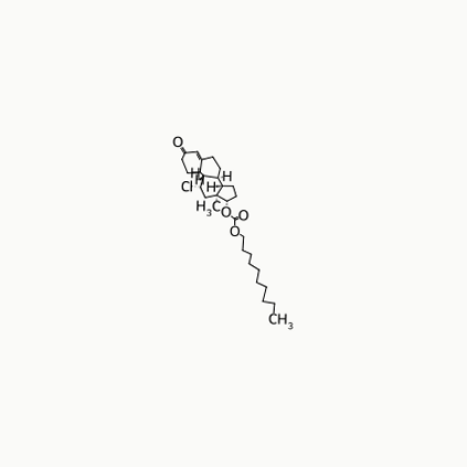 CCCCCCCCCCOC(=O)O[C@H]1CC[C@H]2[C@@H]3CCC4=CC(=O)CC[C@@H]4[C@H]3[C@@H](Cl)C[C@]12C